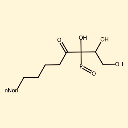 CCCCCCCCCCCCCC(=O)C(O)(P=O)C(O)CO